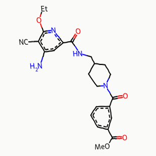 CCOc1nc(C(=O)NCC2CCN(C(=O)c3cccc(C(=O)OC)c3)CC2)cc(N)c1C#N